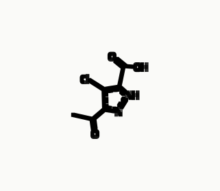 CC(=O)c1n[nH]c(C(=O)O)c1Cl